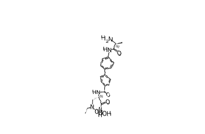 CCN(O)C[C@H](NC(=O)c1ccc(-c2ccc(NC(=O)[C@H](C)N)cc2)cc1)C(=O)NO